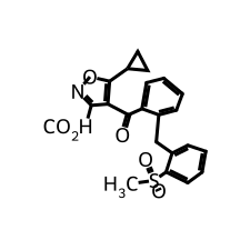 CS(=O)(=O)c1ccccc1Cc1ccccc1C(=O)c1c(C(=O)O)noc1C1CC1